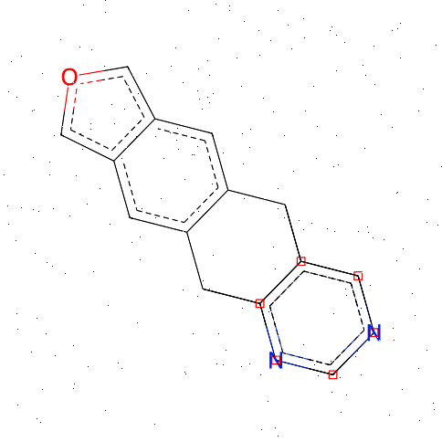 c1ccc2c(c1)C1c3cc4cocc4cc3C2c2ncncc21